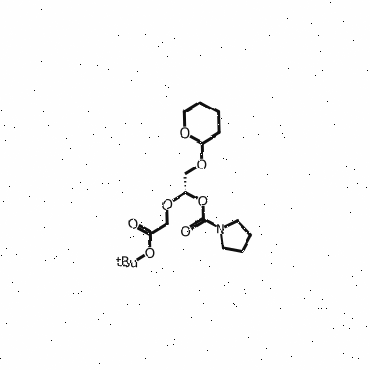 CC(C)(C)OC(=O)CO[C@H](COC1CCCCO1)OC(=O)N1CCCC1